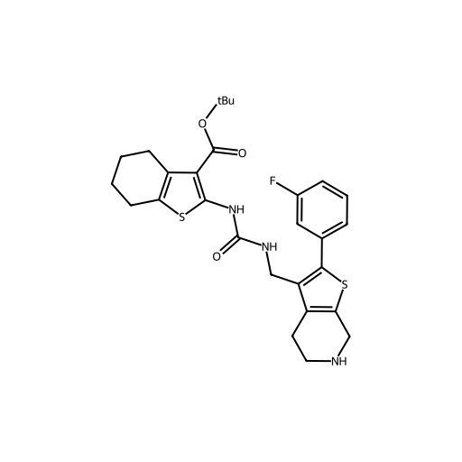 CC(C)(C)OC(=O)c1c(NC(=O)NCc2c(-c3cccc(F)c3)sc3c2CCNC3)sc2c1CCCC2